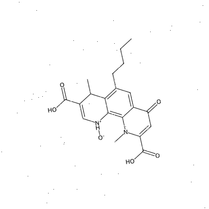 CCCCc1cc2c(=O)cc(C(=O)O)n(C)c2c2c1C(C)C(C(=O)O)=C[NH+]2[O-]